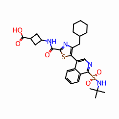 CC(C)(C)NS(=O)(=O)c1ncc(-c2sc(C(=O)NC3CC(C(=O)O)C3)nc2CC2CCCCC2)c2ccccc12